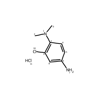 CN(C)c1ccc(N)cc1Cl.Cl